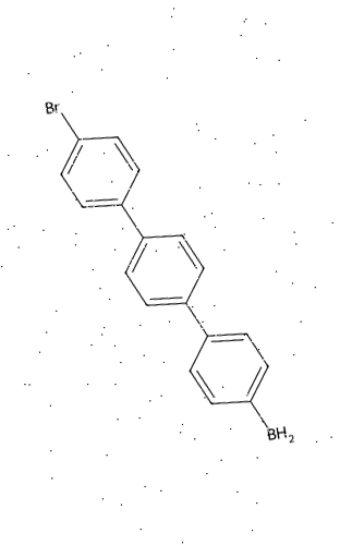 Bc1ccc(-c2ccc(-c3ccc(Br)cc3)cc2)cc1